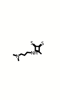 Cc1c(NCCCN(C)C)c(=S)c1=S